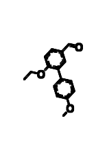 CCOc1ccc(C=O)cc1-c1ccc(OC)cc1